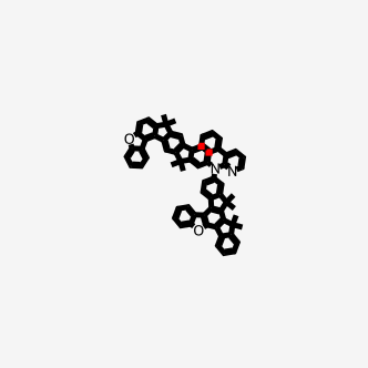 CC1(C)c2cc(N(c3ccc4c(c3)C(C)(C)c3c5c(c6oc7ccccc7c6c3-4)-c3ccccc3C5(C)C)c3ncccc3-c3ccccc3)ccc2-c2cc3c(cc21)-c1c(ccc2oc4ccccc4c12)C3(C)C